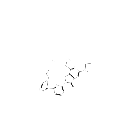 CCCn1cnnc1-c1cccc(N2Cc3c(cc(N(C)CC)nc3CN)C2=O)n1.Cl